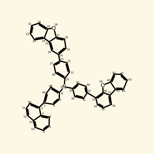 c1ccc2c(-c3ccc(N(c4ccc(-c5ccc6oc7ccccc7c6c5)cc4)c4ccc(-c5cccc6c5oc5ccccc56)cc4)cc3)cccc2c1